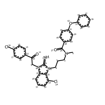 CN(CCCn1c(=N)n(CC(=O)c2ccc(Cl)cc2)c2cccc(Cl)c21)C(=O)c1ccc(Oc2ccccc2)cc1